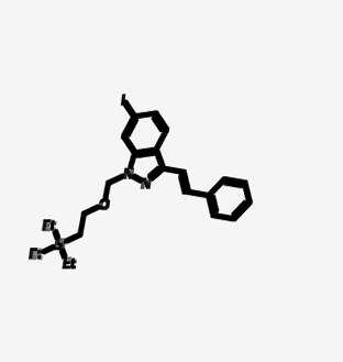 CC[Si](CC)(CC)CCOCn1nc(C=Cc2ccccc2)c2ccc(I)cc21